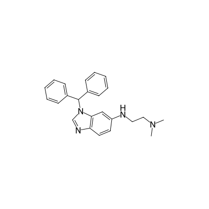 CN(C)CCNc1ccc2ncn(C(c3ccccc3)c3ccccc3)c2c1